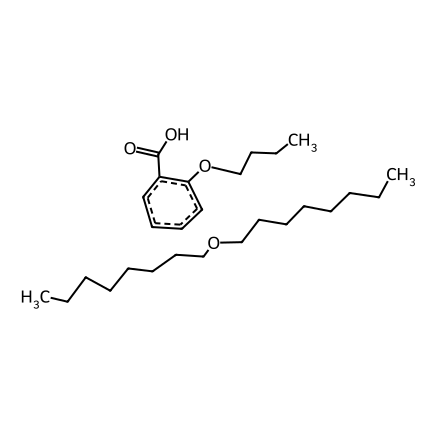 CCCCCCCCOCCCCCCCC.CCCCOc1ccccc1C(=O)O